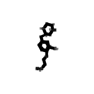 COCCOc1ccc(C[C@@H]2CNCCO2)cc1Cl